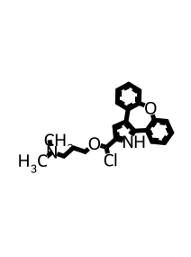 CN(C)CCCOC(Cl)c1cc2c([nH]1)-c1ccccc1Oc1ccccc1-2